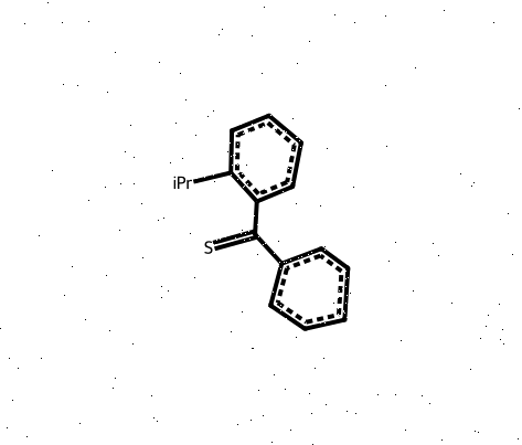 CC(C)c1ccccc1C(=S)c1ccccc1